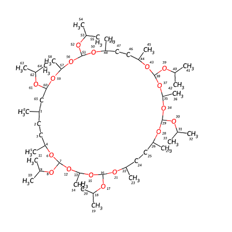 CC1CCC(C)OC(OC(C)C)OC(C)OC(OC(C)C)OC(C)CCC(C)OC(OC(C)C)OC(C)OC(OC(C)C)OC(C)CCC(C)OC(OC(C)C)OC(C)OC(OC(C)C)C1